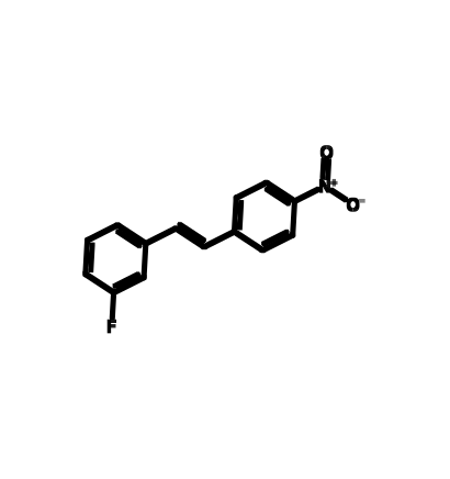 O=[N+]([O-])c1ccc(C=Cc2cccc(F)c2)cc1